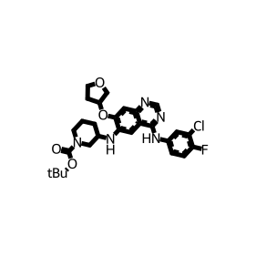 CC(C)(C)OC(=O)N1CCCC(Nc2cc3c(Nc4ccc(F)c(Cl)c4)ncnc3cc2OC2CCOC2)C1